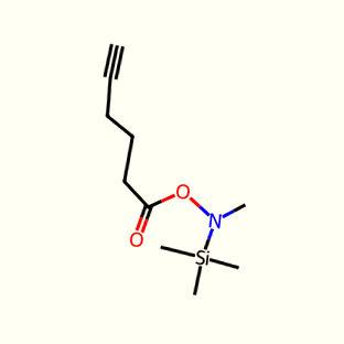 C#CCCCC(=O)ON(C)[Si](C)(C)C